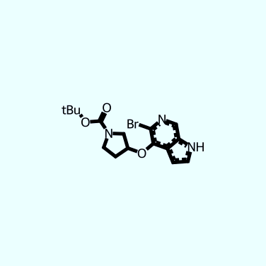 CC(C)(C)OC(=O)N1CCC(Oc2c(Br)ncc3[nH]ccc23)C1